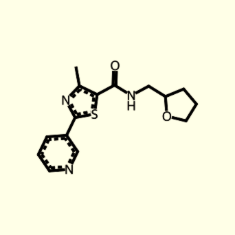 Cc1nc(-c2cccnc2)sc1C(=O)NCC1CCCO1